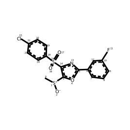 C[S+]([O-])c1oc(-c2cccc(F)c2)nc1S(=O)(=O)c1ccc(Cl)cc1